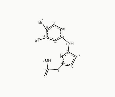 C=C(O)Cc1csc(Nc2ccc(Br)c(F)c2)n1